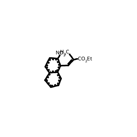 CCOC(=O)C(C)=Cc1c([N+](=O)[O-])ccc2ccccc12